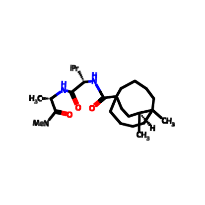 CNC(=O)[C@H](C)NC(=O)[C@@H](NC(=O)C12CCCCC(C)(CCCC1)[C@@H](C)CC2)C(C)C